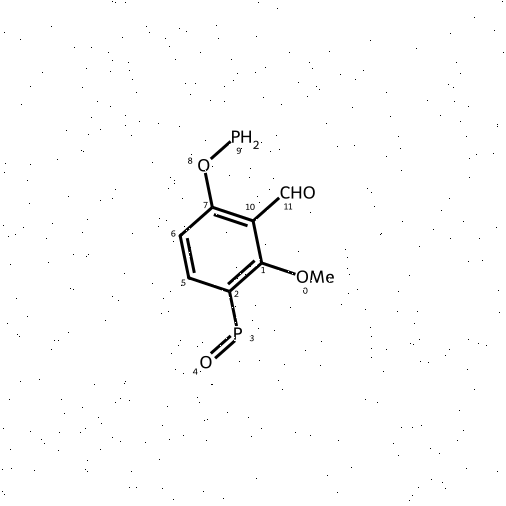 COc1c(P=O)ccc(OP)c1C=O